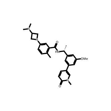 COc1cc(-c2ccc(=O)n(C)c2)cc([C@@H](C)NC(=O)c2cc(N3CC(N(C)C)C3)ccc2C)c1